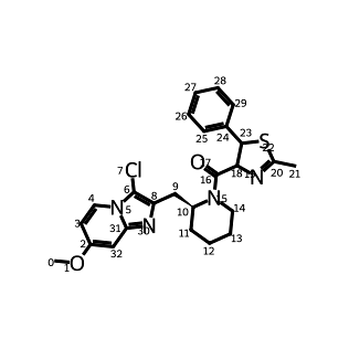 COc1ccn2c(Cl)c(C[C@@H]3CCCCN3C(=O)C3N=C(C)SC3c3ccccc3)nc2c1